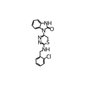 O=c1[nH]c2ccccc2n1C1=NN=C(NCc2ccccc2Cl)SC1